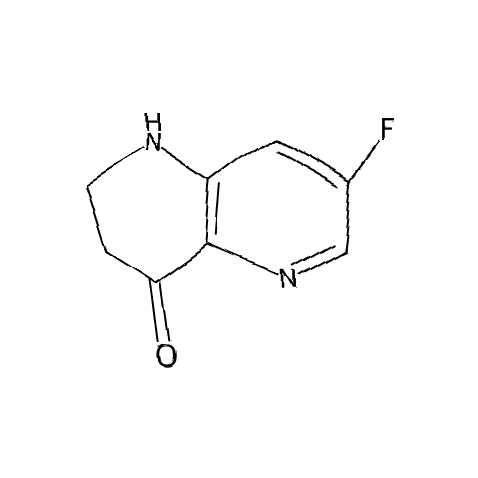 O=C1CCNc2cc(F)cnc21